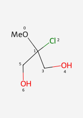 COC(Cl)(CO)CO